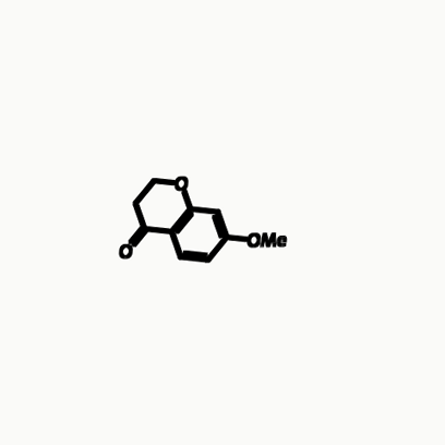 COc1ccc2c(c1)OCCC2=O